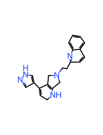 C1=C(c2cn[nH]c2)C2=C(CN(CCc3ccc4ccccc4n3)C2)NC1